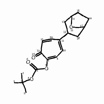 CC(C)(C)OC(=O)Oc1ccc(C2CC3CCC(C2)O3)ccc1=O